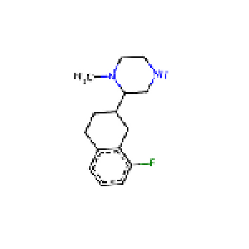 CN1CCNCC1C1CCc2cccc(F)c2C1